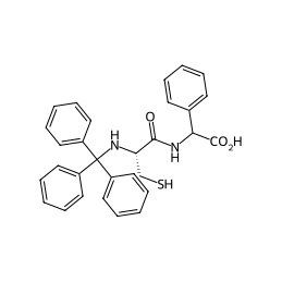 O=C(O)C(NC(=O)[C@H](CS)NC(c1ccccc1)(c1ccccc1)c1ccccc1)c1ccccc1